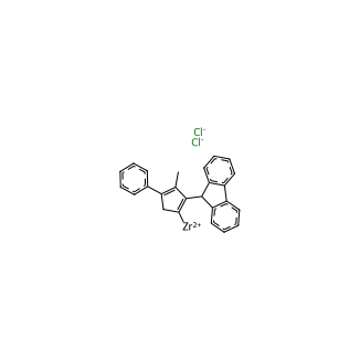 CC1=C(c2ccccc2)C[C]([Zr+2])=C1C1c2ccccc2-c2ccccc21.[Cl-].[Cl-]